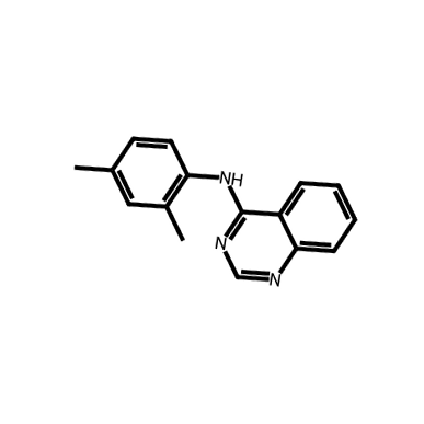 Cc1ccc(Nc2ncnc3ccccc23)c(C)c1